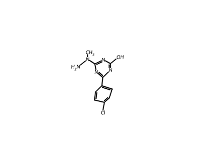 CN(N)c1nc(O)nc(-c2ccc(Cl)cc2)n1